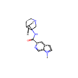 Cn1ccc2cc(C(=O)N[C@H]3CN4CCC3CC4)ncc21